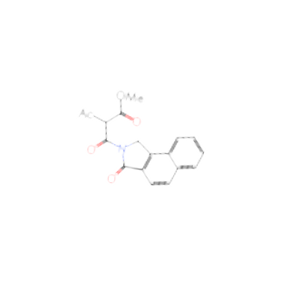 COC(=O)C(C(C)=O)C(=O)N1Cc2c(ccc3ccccc23)C1=O